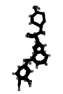 CN1CCC(NC(=O)c2cc3c(Nc4ccc(F)c(Cl)c4)ncnc3s2)CC1